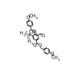 COc1ccc(COC(=O)c2cc(C=O)c(OCc3ccc(OC)cc3)c(C(C)(C)C)c2)cc1